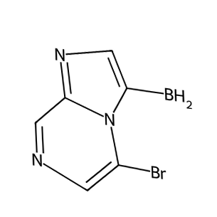 Bc1cnc2cncc(Br)n12